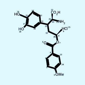 COc1ccc(C(=O)O[C@H](C)CC(c2ccc(O)c(O)c2)[C@H](N)C(=O)O)cc1.Cl